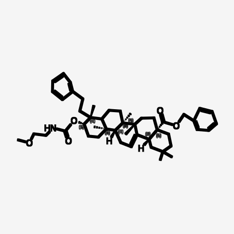 COCCNC(=O)O[C@H]1CC[C@@]2(C)C(CC[C@]3(C)[C@@H]2CC=C2[C@H]4CC(C)(C)CC[C@]4(C(=O)OCc4ccccc4)CC[C@]23C)[C@@]1(C)CCc1ccccc1